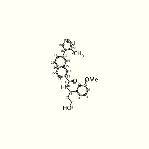 COc1cccc(C(CCO)NC(=O)c2cc3cc(-c4cn[nH]c4C)ccc3cn2)c1